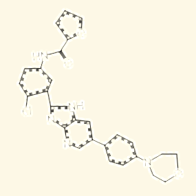 O=C(Nc1ccc(Cl)c(-c2nc3ncc(-c4ccc(N5CCOCC5)cc4)cc3[nH]2)c1)c1ccco1